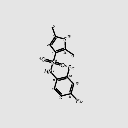 Cc1cc(S(=O)(=O)Nc2ccc(F)cc2F)c(C)s1